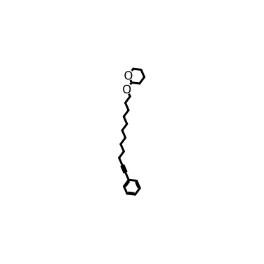 C(#Cc1ccccc1)CCCCCCCCCCOC1CCCCO1